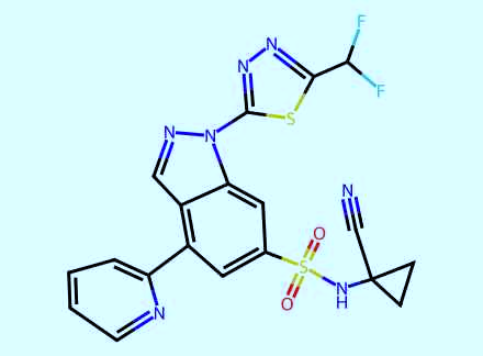 N#CC1(NS(=O)(=O)c2cc(-c3ccccn3)c3cnn(-c4nnc(C(F)F)s4)c3c2)CC1